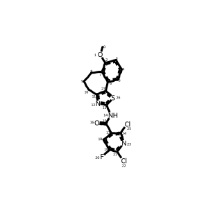 COc1cccc2c1CCCc1nc(NC(=O)c3cc(F)c(Cl)nc3Cl)sc1-2